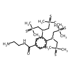 CP(C)(=S)CP(CP(C)(C)=S)c1ccc(C(=O)NCCN)cc1P(CP(C)(C)=S)CP(C)(C)=S